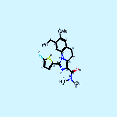 COc1cc2c(cc1CC(C)C)-n1c(-c3ccc(F)s3)nc(C(=O)N(C)C(C)(C)C)c1CC2